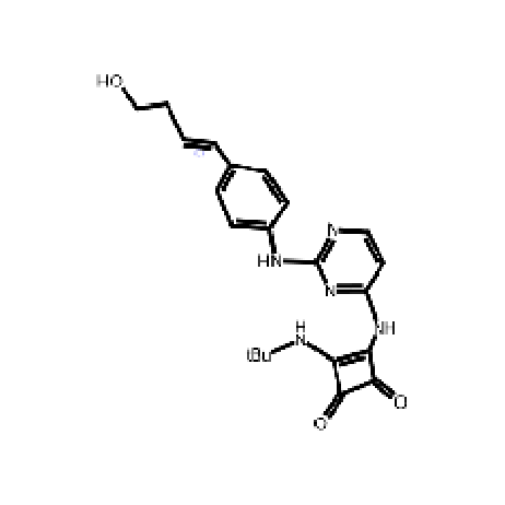 CC(C)(C)Nc1c(Nc2ccnc(Nc3ccc(/C=C/CCO)cc3)n2)c(=O)c1=O